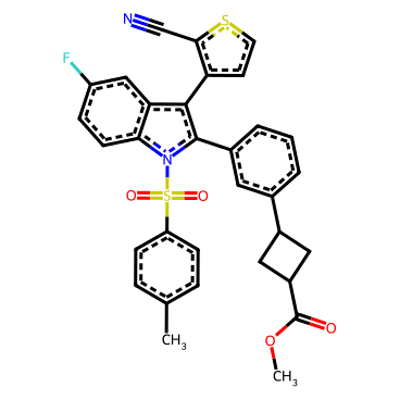 COC(=O)C1CC(c2cccc(-c3c(-c4ccsc4C#N)c4cc(F)ccc4n3S(=O)(=O)c3ccc(C)cc3)c2)C1